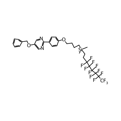 C[Si](C)(CCCCOc1ccc(-c2ncc(OCc3ccccc3)cn2)cc1)CCC(F)(F)C(F)(F)C(F)(F)C(F)(F)C(F)(F)C(F)(F)F